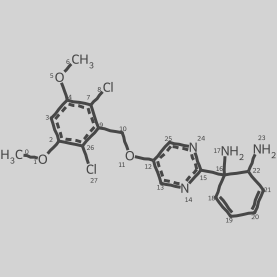 COc1cc(OC)c(Cl)c(COc2cnc(C3(N)C=CC=CC3N)nc2)c1Cl